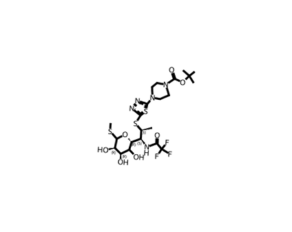 CSC1O[C@H]([C@H](NC(=O)C(F)(F)F)[C@H](C)Sc2nnc(N3CCN(C(=O)OC(C)(C)C)CC3)s2)C(O)[C@@H](O)[C@H]1O